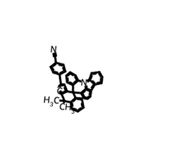 CC1(C)c2ccccc2C2(c3ccccc3-n3c4ccccc4c4cccc2c43)c2cc(-c3ccc(C#N)cc3)ccc21